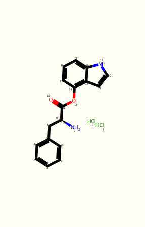 Cl.Cl.N[C@@H](Cc1ccccc1)C(=O)Oc1cccc2[nH]ccc12